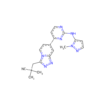 Cn1nccc1Nc1nccc(-c2ccn3c(CC(C)(C)C#N)nnc3c2)n1